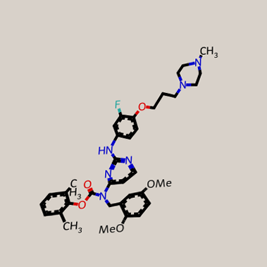 COc1ccc(OC)c(CN(C(=O)Oc2c(C)cccc2C)c2ccnc(Nc3ccc(OCCCN4CCN(C)CC4)c(F)c3)n2)c1